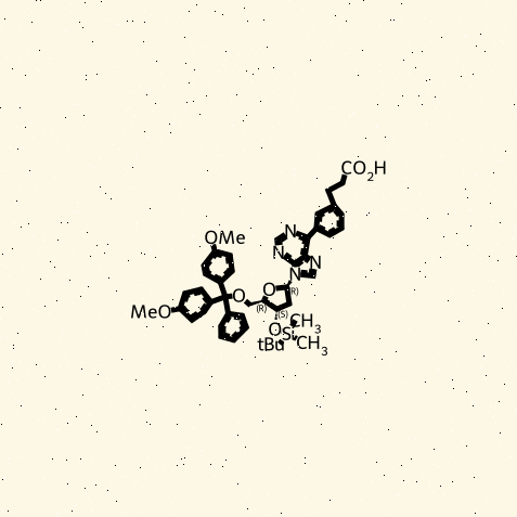 COc1ccc(C(OC[C@H]2O[C@@H](n3cnc4c(-c5cccc(CCC(=O)O)c5)ncnc43)C[C@@H]2O[Si](C)(C)C(C)(C)C)(c2ccccc2)c2ccc(OC)cc2)cc1